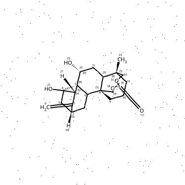 C=C1[C@H]2CC[C@]3(C(C2)[C@@]24CCC[C@@](C)(COS(=O)OC2)C4C[C@H]3O)[C@H]1O